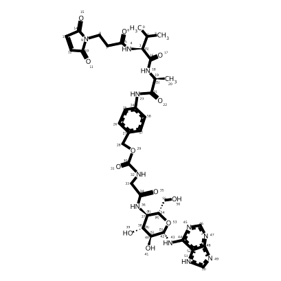 CC(C)[C@H](NC(=O)CCN1C(=O)C=CC1=O)C(=O)N[C@@H](C)C(=O)Nc1ccc(COC(=O)NCC(=O)N[C@@H]2[C@@H](O)[C@H](O)[C@@H](Nc3ncnc4nc[nH]c34)O[C@H]2CO)cc1